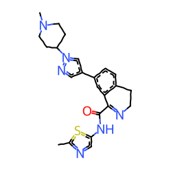 Cc1ncc(NC(=O)C2=NCCc3ccc(-c4cnn(C5CCN(C)CC5)c4)cc32)s1